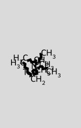 C=CC=CCCCC.CCCCC(C)P(=NC1=CC=CC1)(C(C)CCCC)C(C)CCCC.[Ti]